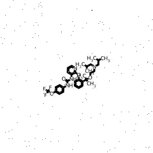 CC(C)CN(CCOC(C)(C)c1ccccc1Oc1ncccc1NC(=O)Nc1ccc(OC(F)(F)F)cc1)CC(C)C